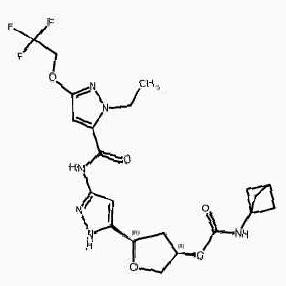 CCn1nc(OCC(F)(F)F)cc1C(=O)Nc1cc([C@H]2C[C@@H](OC(=O)NC34CC(C3)C4)CO2)[nH]n1